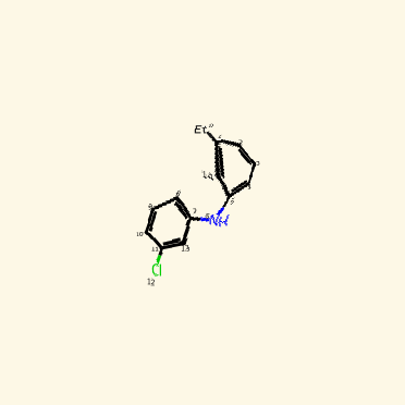 CCc1cccc(Nc2cccc(Cl)c2)c1